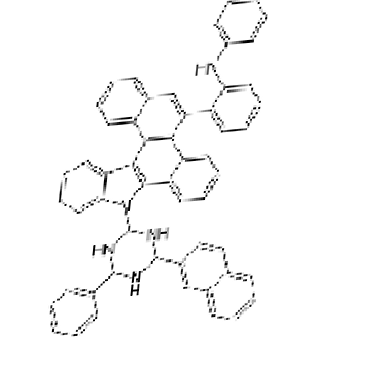 c1ccc(Nc2ccccc2-c2cc3ccccc3c3c2c2ccccc2c2c3c3ccccc3n2C2NC(c3ccccc3)NC(c3ccc4ccccc4c3)N2)cc1